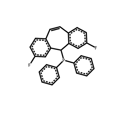 Fc1ccc2c(c1)C(P(c1ccccc1)c1ccccc1)c1cc(F)ccc1C=C2